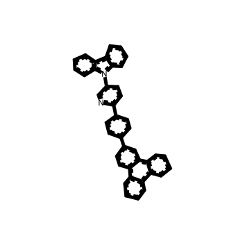 c1ccc2c(c1)c1ccccc1c1cc(-c3ccc(-c4ccc(-n5c6ccccc6c6ccccc65)cn4)cc3)ccc21